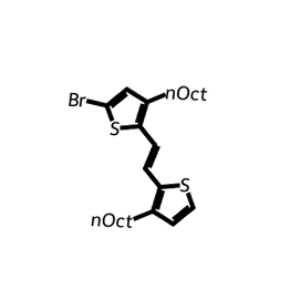 CCCCCCCCc1ccsc1/C=C/c1sc(Br)cc1CCCCCCCC